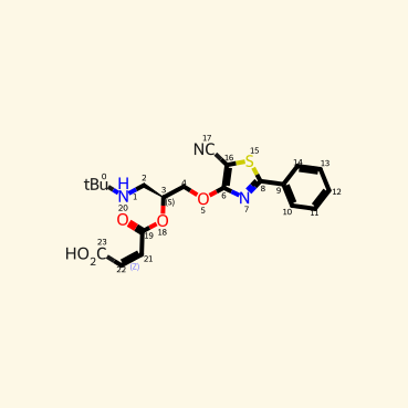 CC(C)(C)NC[C@@H](COc1nc(-c2ccccc2)sc1C#N)OC(=O)/C=C\C(=O)O